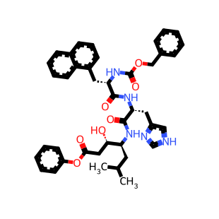 CC(C)C[C@H](NC(=O)[C@@H](Cc1c[nH]cn1)NC(=O)[C@H](Cc1cccc2ccccc12)NC(=O)OCc1ccccc1)[C@@H](O)CC(=O)Oc1ccccc1